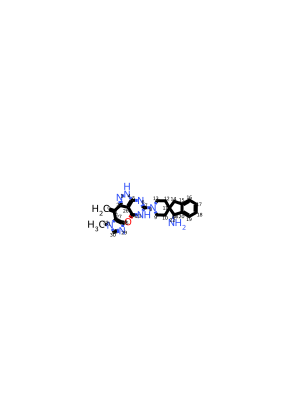 C=C(c1n[nH]c2nc(N3CCC4(CC3)Cc3ccccc3[C@H]4N)[nH]c(=O)c12)c1cncn1C